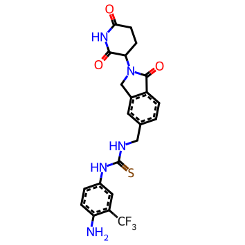 Nc1ccc(NC(=S)NCc2ccc3c(c2)CN(C2CCC(=O)NC2=O)C3=O)cc1C(F)(F)F